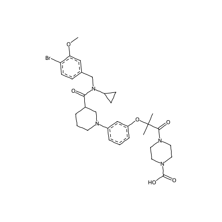 COc1cc(CN(C(=O)C2CCCN(c3cccc(OC(C)(C)C(=O)N4CCN(C(=O)O)CC4)c3)C2)C2CC2)ccc1Br